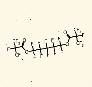 O=C(OC(F)(F)C(F)(F)C(F)(F)C(F)(F)C(F)(F)OC(=O)C(F)(C(F)(F)F)C(F)(F)F)C(F)(C(F)(F)F)C(F)(F)F